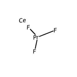 [Ce].[F][Pr]([F])[F]